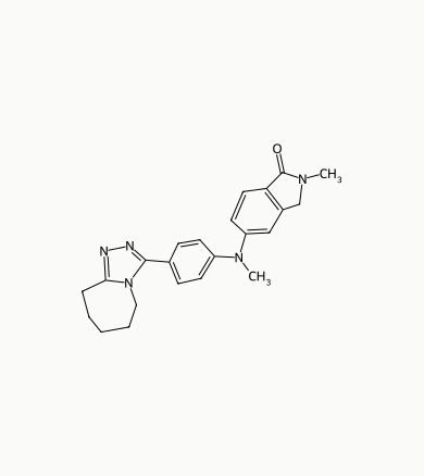 CN1Cc2cc(N(C)c3ccc(-c4nnc5n4CCCCC5)cc3)ccc2C1=O